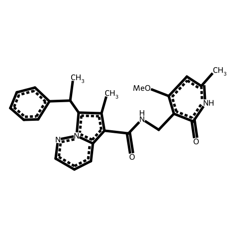 COc1cc(C)[nH]c(=O)c1CNC(=O)c1c(C)c(C(C)c2ccccc2)n2ncccc12